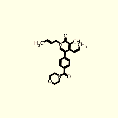 C/C=C\c1c(-c2ccc(C(=O)N3CCOCC3)cc2)cn(C/C=C/C)c(=O)c1C